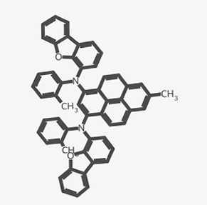 Cc1cc2ccc3c(N(c4ccccc4C)c4cccc5c4oc4ccccc45)cc(N(c4ccccc4C)c4cccc5c4oc4ccccc45)c4ccc(c1)c2c34